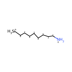 NCCCCCCCC[SiH3]